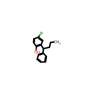 CCCC(c1ccccc1)c1cc(Br)ccc1O